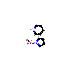 CPn1cccc1.c1ccncc1